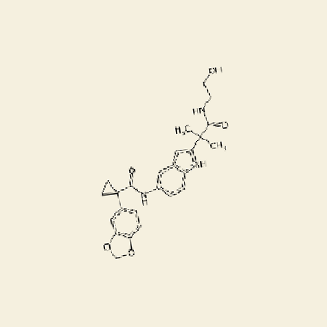 CC(C)(C(=O)NCCO)c1cc2cc(NC(=O)C3(c4ccc5c(c4)OCO5)CC3)ccc2[nH]1